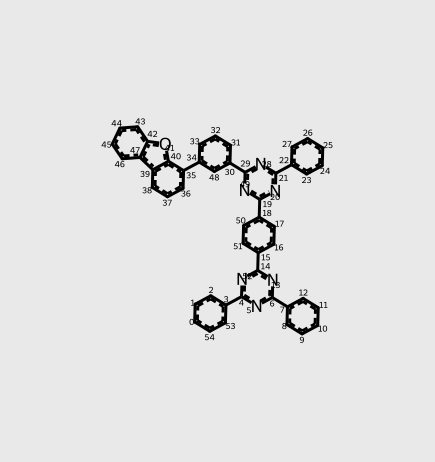 c1ccc(-c2nc(-c3ccccc3)nc(-c3ccc(-c4nc(-c5ccccc5)nc(-c5cccc(-c6cccc7c6oc6ccccc67)c5)n4)cc3)n2)cc1